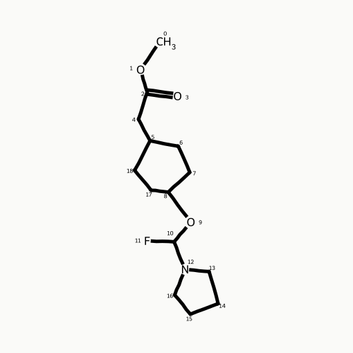 COC(=O)CC1CCC(OC(F)N2CCCC2)CC1